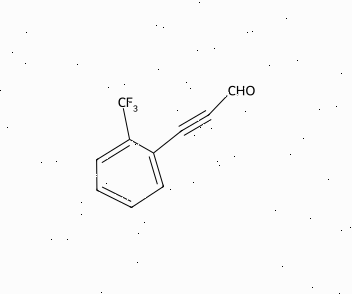 O=CC#Cc1ccccc1C(F)(F)F